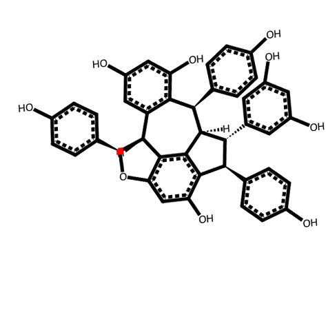 Oc1ccc([C@H]2c3c(O)cc4c5c3[C@@H]([C@H](c3ccc(O)cc3)c3c(O)cc(O)cc3[C@H]5[C@H](c3ccc(O)cc3)O4)[C@@H]2c2cc(O)cc(O)c2)cc1